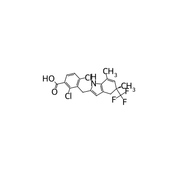 CC1=C[C@](C)(C(F)(F)F)Cc2cc(Cc3c(Cl)ccc(C(=O)O)c3Cl)[nH]c21